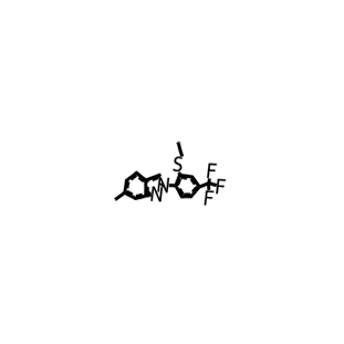 CCSc1cc(C(F)(F)F)ccc1-n1cc2ccc(C)cc2n1